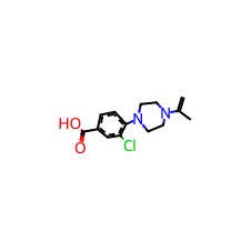 C=C(C)N1CCN(c2ccc(C(=O)O)cc2Cl)CC1